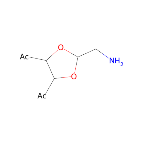 CC(=O)C1OC(CN)OC1C(C)=O